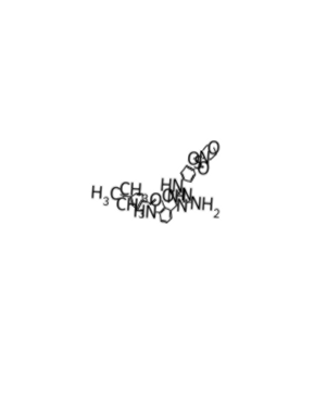 CC(C)(C)c1ccc(C(=O)Nc2cccc(-c3nc(N)nc(Nc4ccc(S(=O)(=O)N5CCOCC5)cc4)n3)c2CO)cc1